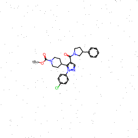 CC(C)(C)OC(=O)N1CCC(c2c(C(=O)N3CCC(c4ccccc4)C3)cnn2-c2ccc(Cl)cc2)CC1